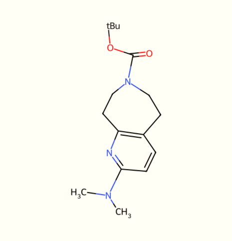 CN(C)c1ccc2c(n1)CCN(C(=O)OC(C)(C)C)CC2